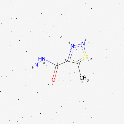 Cc1snnc1C(=O)N[N]